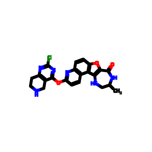 CC1CNc2c(oc3ccc4nc(Oc5nc(Cl)nc6c5CNCC6)ccc4c23)C(=O)N1